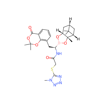 Cn1nnnc1SCC(=O)N[C@@H](Cc1cccc2c1OC(C)(C)OC2=O)B1O[C@@H]2C[C@@H]3C[C@@H](C3(C)C)[C@]2(C)O1